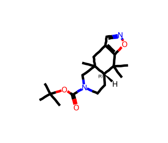 CC(C)(C)OC(=O)N1CC[C@@H]2C(C)(Cc3cnoc3C2(C)C)C1